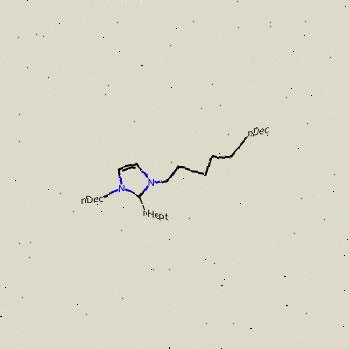 CCCCCCCCCCCCCCCN1C=CN(CCCCCCCCCC)C1CCCCCCC